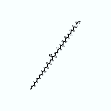 CCCCCCCCCCCCCCCCCC(=O)CCCCCCCCCCCCCCCCOC=O